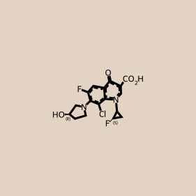 O=C(O)c1cn(C2C[C@@H]2F)c2c(Cl)c(N3CC[C@@H](O)C3)c(F)cc2c1=O